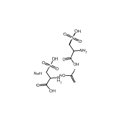 C=C(C)O.NC(CS(=O)(=O)O)C(=O)O.NC(CS(=O)(=O)O)C(=O)O.[NaH]